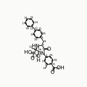 Cc1cc(NC(=O)C(Cc2ccc(-c3ccccc3)cc2)NC(C)(C)P(=O)(O)O)ccc1C(=O)O